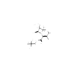 CC1=C(C(=O)OCC(Cl)(Cl)Cl)N2C(=O)C(N)[C@@H]2SC1